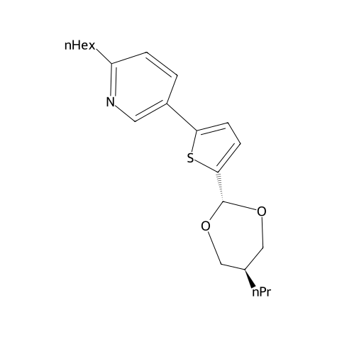 CCCCCCc1ccc(-c2ccc([C@H]3OC[C@H](CCC)CO3)s2)cn1